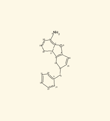 NC1=C2OC3=C(CC(Cc4ccccc4)C=C3)C2CC=C1